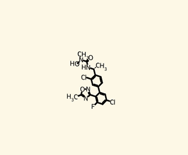 Cc1nc(-c2c(F)cc(Cl)cc2-c2ccc([C@@H](C)NC(=O)N(C)O)c(Cl)c2)no1